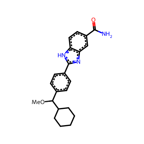 COC(c1ccc(-c2nc3cc(C(N)=O)ccc3[nH]2)cc1)C1CCCCC1